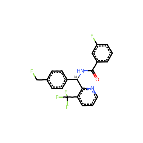 O=C(N[C@@H](c1ccc(CF)cc1)c1ncccc1C(F)(F)F)c1cccc(F)c1